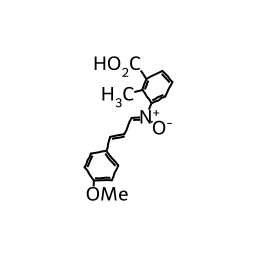 COc1ccc(C=CC=[N+]([O-])c2cccc(C(=O)O)c2C)cc1